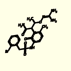 Cc1ccc(NS(=O)(=O)Cc2ccccc2Br)c(=O)n1C(C(N)=O)C(C)ON=C(N)N